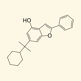 CC(C)(c1cc(O)c2cc(-c3ccccc3)oc2c1)C1CCCCC1